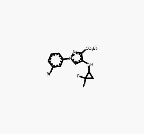 CCOC(=O)c1nn(-c2cccc(Br)c2)cc1NC1CC1(F)F